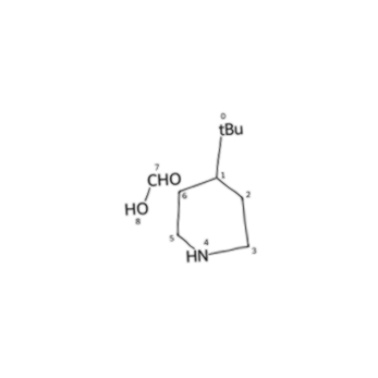 CC(C)(C)C1CCNCC1.O=CO